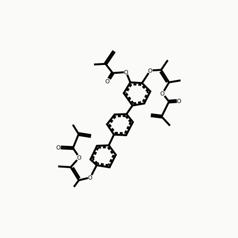 C=C(C)C(=O)OC(C)=C(C)Oc1ccc(-c2ccc(-c3ccc(OC(C)=C(C)OC(=O)C(=C)C)c(OC(=O)C(=C)C)c3)cc2)cc1